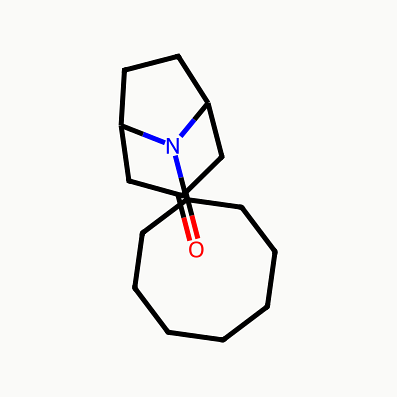 O=C1CC2CCC(C1)N2C1CCCCCCC1